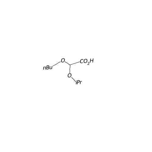 CCCCOC(OC(C)C)C(=O)O